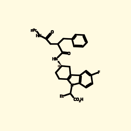 CCCNC(=O)CC(Cc1ccccc1)C(=O)N[C@H]1CCc2c(c3cc(F)ccc3n2C(CC)C(=O)O)C1